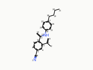 C=C(C)c1cc(C#N)ccc1C(=C)Nc1ccc(CCCC)cc1